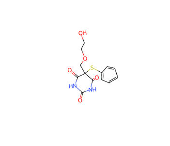 O=C1NC(=O)C(COCCO)(Sc2ccccc2)C(=O)N1